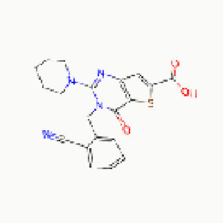 N#Cc1ccccc1Cn1c(N2CCCCC2)nc2cc(C(=O)O)sc2c1=O